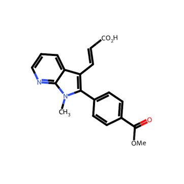 COC(=O)c1ccc(-c2c(C=CC(=O)O)c3cccnc3n2C)cc1